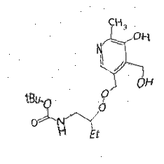 CCC(CNC(=O)OC(C)(C)C)OOCc1cnc(C)c(O)c1CO